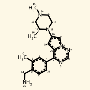 Cc1cc(-c2ncnn3cc(N4CCN(C)C[C@H]4C)cc23)ccc1CN